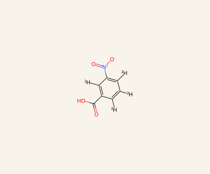 [2H]c1c([2H])c(C(=O)O)c([2H])c([N+](=O)[O-])c1[2H]